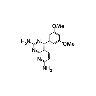 COc1cc(OC)cc(-c2nc(N)nc3nc(N)ccc23)c1